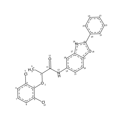 CC(Oc1c(Cl)cccc1Cl)C(=O)Nc1ccc2oc(-c3ccccc3)nc2c1